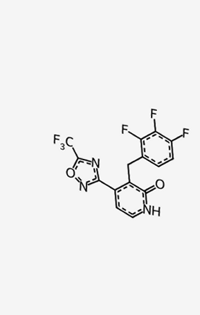 O=c1[nH]ccc(-c2noc(C(F)(F)F)n2)c1Cc1ccc(F)c(F)c1F